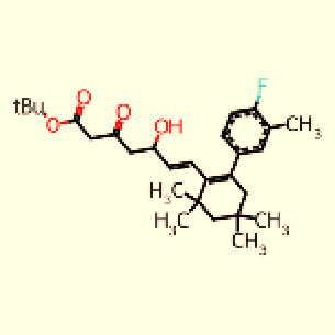 Cc1cc(C2=C(/C=C/C(O)CC(=O)CC(=O)OC(C)(C)C)C(C)(C)CC(C)(C)C2)ccc1F